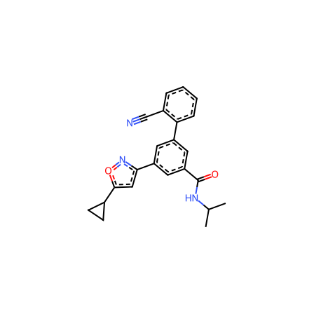 CC(C)NC(=O)c1cc(-c2cc(C3CC3)on2)cc(-c2ccccc2C#N)c1